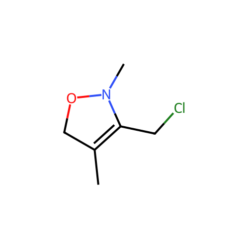 CC1=C(CCl)N(C)OC1